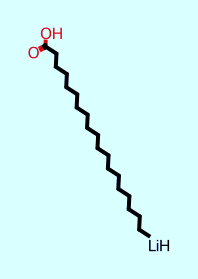 CCCCCCCCCCCCCCCCCCCC(=O)O.[LiH]